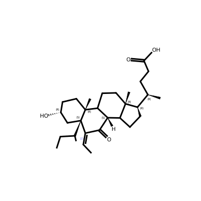 C/C=C1\C(=O)[C@H]2C3CC[C@H]([C@H](C)CCC(=O)O)[C@@]3(C)CCC2[C@@]2(C)CC[C@@H](O)C[C@@]12C(C)CC